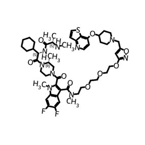 CN[C@@H](C)C(=O)N[C@H](C(=O)N1CCN(C(=O)c2c(C(=O)N(C)CCOCCOCCOc3cc(CN4CCC(Oc5ccnc6ccsc56)CC4)on3)c3cc(F)c(F)cc3n2C)C[C@H]1C)C1CCCCC1